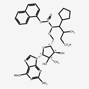 COc1nc(N)nc2c1ncn2[C@@H]1O[C@H](CON(C(C(C)CC(=O)O)C2CCCC2)[PH](=O)Oc2cccc3ccccc23)[C@@H](O)[C@@]1(C)O